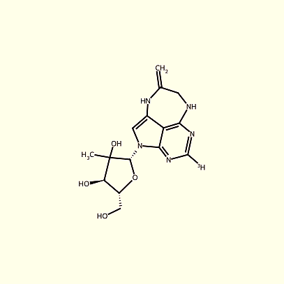 [3H]c1nc2c3c(cn([C@@H]4O[C@H](CO)[C@@H](O)C4(C)O)c3n1)NC(=C)CN2